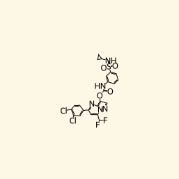 O=C(Nc1cccc(S(=O)(=O)NC2CC2)c1)Oc1cnn2c(C(F)F)cc(-c3ccc(Cl)c(Cl)c3)nc12